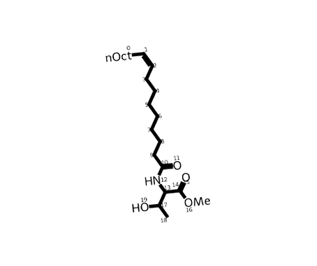 CCCCCCCC/C=C\CCCCCCCC(=O)NC(C(=O)OC)C(C)O